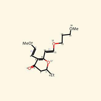 CCC1CC(=O)C(/C=C/OC)=C(/C=C/OCCCOC)O1